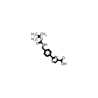 CC(C)(C)OC(=O)NCc1ccc(C2=NC(C(=O)O)CS2)cc1